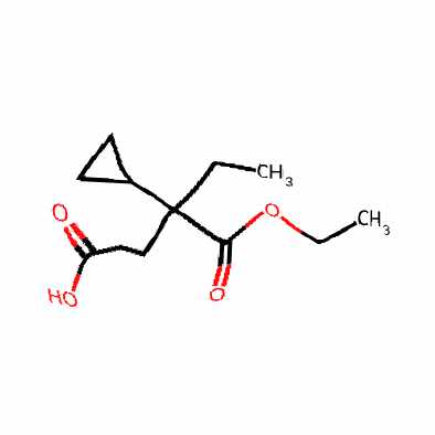 CCOC(=O)C(CC)(CC(=O)O)C1CC1